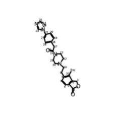 O=C1OCc2c1ccc(CCN1CCN(C(=O)Cc3ccc(-n4cncn4)cc3)CC1)c2I